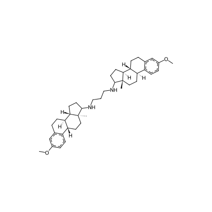 COc1ccc2c(c1)CC[C@@H]1[C@@H]2CC[C@]2(C)C(NCCCNC3CC[C@H]4[C@@H]5CCc6cc(OC)ccc6[C@H]5CC[C@]34C)CC[C@@H]12